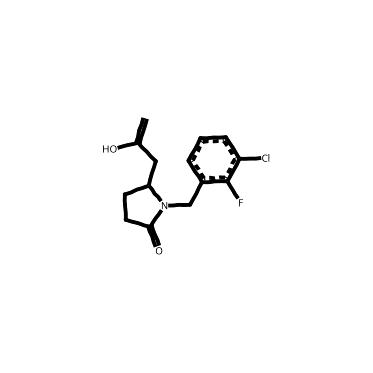 C=C(O)CC1CCC(=O)N1Cc1cccc(Cl)c1F